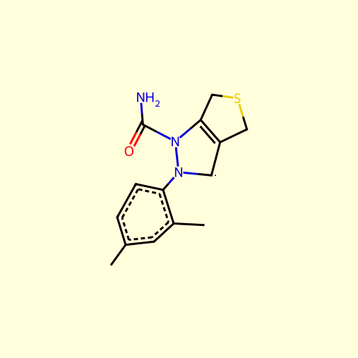 Cc1ccc(N2[CH]C3=C(CSC3)N2C(N)=O)c(C)c1